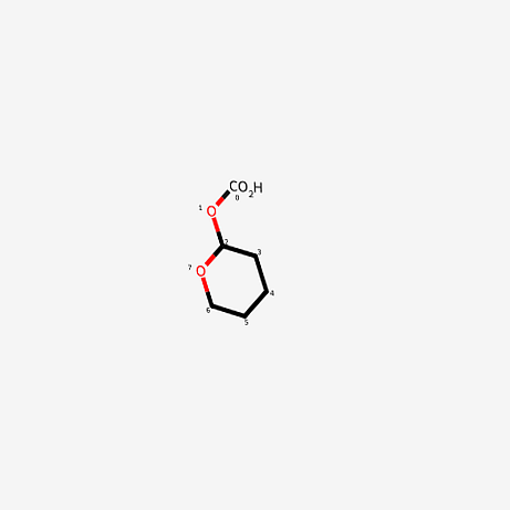 O=C(O)OC1CCCCO1